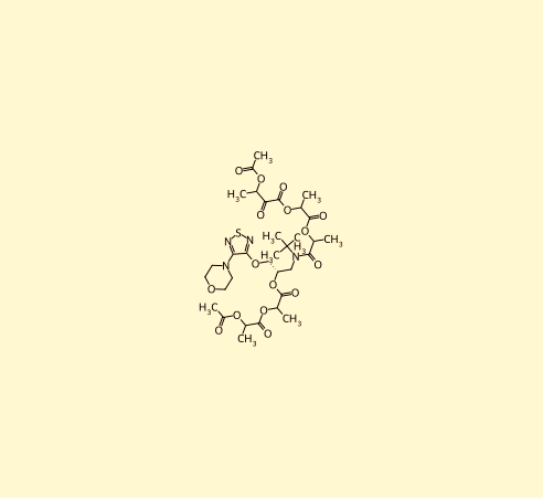 CC(=O)OC(C)C(=O)OC(C)C(=O)O[C@H](COc1nsnc1N1CCOCC1)CN(C(=O)C(C)OC(=O)C(C)OC(=O)C(=O)C(C)OC(C)=O)C(C)(C)C